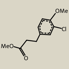 COC(=O)CCc1ccc(OC)c(Cl)c1